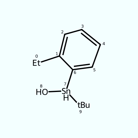 CCc1cccc[c]1[SnH]([OH])[C](C)(C)C